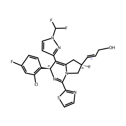 OC/C=C/[C@]1(F)CC2=C(c3ccn(C(F)F)n3)[C@H](c3ccc(F)cc3Cl)N=C(c3nccs3)N2C1